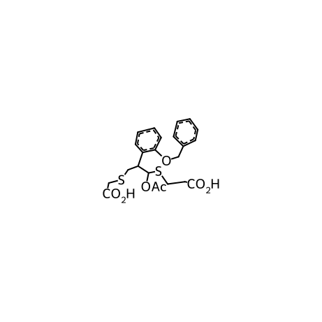 CC(=O)OC(SCCC(=O)O)C(CSCC(=O)O)c1ccccc1OCc1ccccc1